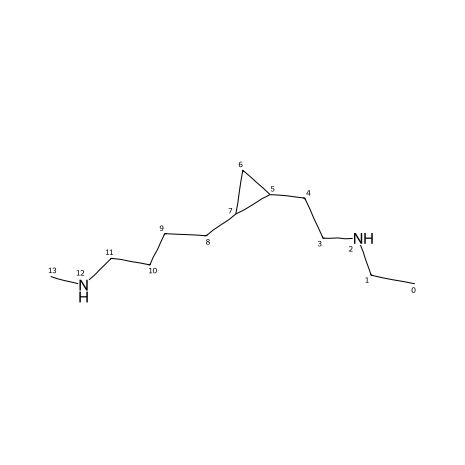 CCNCCC1CC1CCCCNC